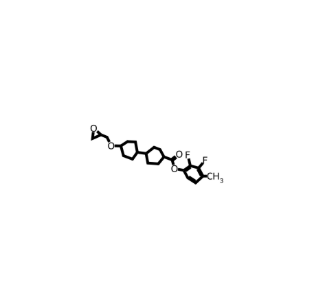 Cc1ccc(OC(=O)C2CCC(C3CCC(OCC4CO4)CC3)CC2)c(F)c1F